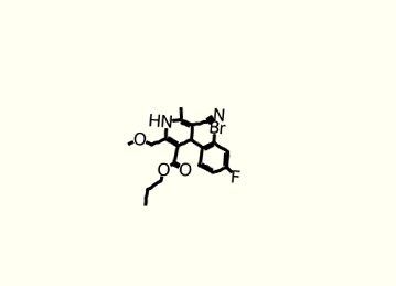 CCCOC(=O)C1=C(COC)NC(C)=C(C#N)C1c1ccc(F)cc1Br